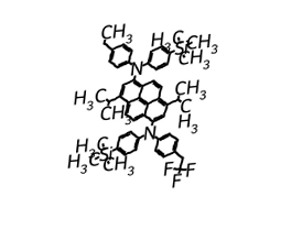 CCc1ccc(N(c2ccc([Si](C)(C)C)cc2)c2cc(C(C)C)c3ccc4c(N(c5ccc(CC(F)(F)F)cc5)c5ccc([Si](C)(C)C)cc5)cc(C(C)C)c5ccc2c3c54)cc1